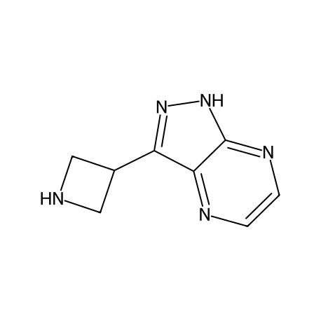 c1cnc2c(C3CNC3)n[nH]c2n1